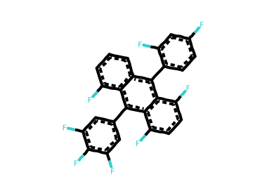 Fc1ccc(-c2c3cccc(F)c3c(-c3cc(F)c(F)c(F)c3)c3c(F)ccc(F)c23)c(F)c1